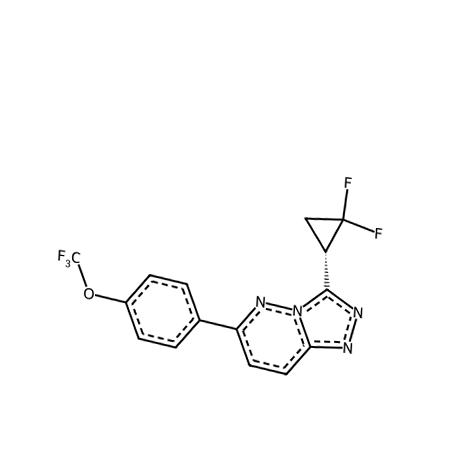 FC(F)(F)Oc1ccc(-c2ccc3nnc([C@@H]4CC4(F)F)n3n2)cc1